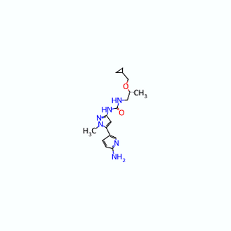 C[C@H](CNC(=O)Nc1cc(-c2ccc(N)nc2)n(C)n1)OCC1CC1